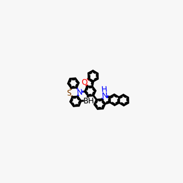 B1c2cccc3c2N(c2ccccc2S3)c2c1c(-c1cccc3c1[nH]c1cc4ccccc4cc13)cc1c2oc2ccccc21